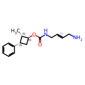 C[C@@H]1[C@@H](OC(=O)NC/C=C/CN)C[C@@H]1c1ccccc1